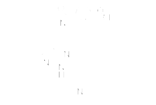 CN1CCC(Cc2nc3c(C4CCN(C(=O)c5ccc(OC(F)(F)F)cc5)CC4)ccnc3[nH]2)CC1